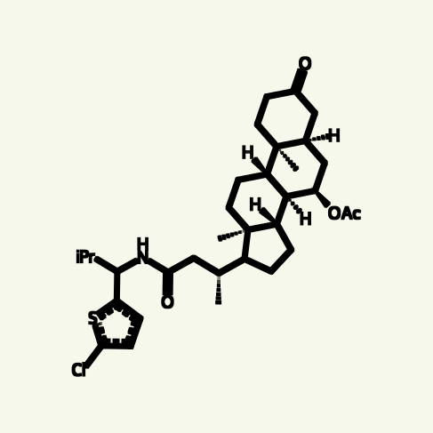 CC(=O)O[C@@H]1C[C@@H]2CC(=O)CC[C@]2(C)[C@H]2CC[C@]3(C)C([C@H](C)CC(=O)NC(c4ccc(Cl)s4)C(C)C)CC[C@H]3[C@H]12